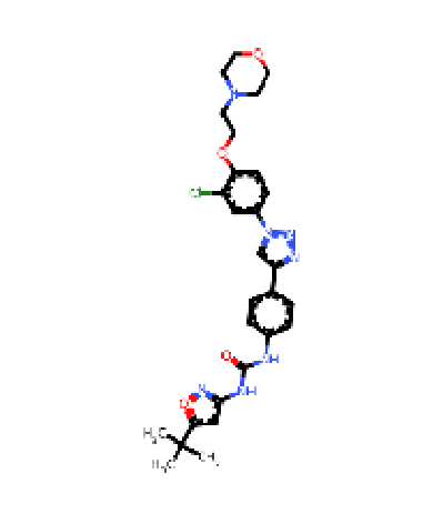 CC(C)(C)c1cc(NC(=O)Nc2ccc(-c3cn(-c4ccc(OCCN5CCOCC5)c(Cl)c4)nn3)cc2)no1